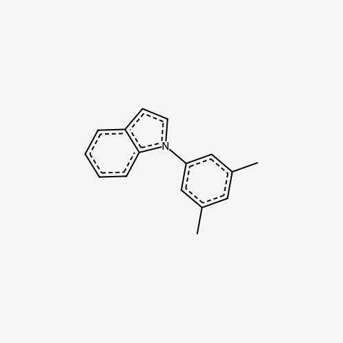 Cc1cc(C)cc(-n2ccc3ccccc32)c1